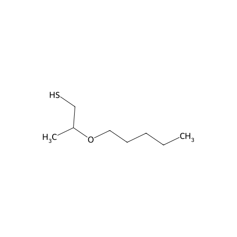 CCCCCOC(C)CS